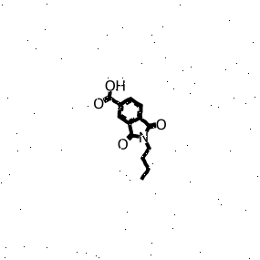 CCCCN1C(=O)c2ccc(C(=O)O)cc2C1=O